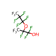 OC(F)(F)C(F)(OC(F)(F)C(F)(F)C(F)(F)F)C(F)(F)F